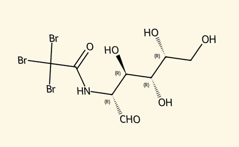 O=C[C@H](NC(=O)C(Br)(Br)Br)[C@@H](O)[C@@H](O)[C@H](O)CO